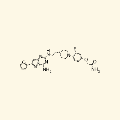 NC(=O)COc1ccc(N2CCN(CCNc3nc(N)n4nc(-c5ccco5)cc4n3)CC2)c(F)c1